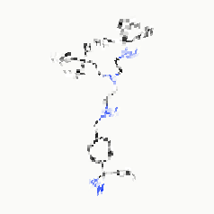 CCCC(C)(C)NCCN(CCNCc1ccc(C2(C(F)(F)F)N=N2)cc1)CCC(C)(C)CC